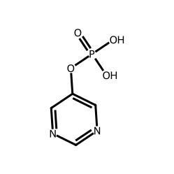 O=P(O)(O)Oc1cncnc1